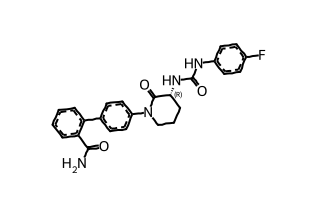 NC(=O)c1ccccc1-c1ccc(N2CCC[C@@H](NC(=O)Nc3ccc(F)cc3)C2=O)cc1